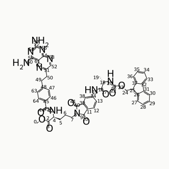 COC(=O)[C@H](CCCN1C(=O)c2ccc(NC(=O)[C@H](C)NC(=O)OCC3c4ccccc4-c4ccccc43)cc2C1=O)NC(=O)c1ccc(CCc2cnc3nc(N)nc(N)c3n2)cc1